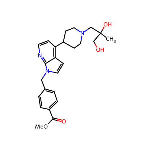 COC(=O)c1ccc(Cn2ccc3c(C4CCN(CC(C)(O)CO)CC4)ccnc32)cc1